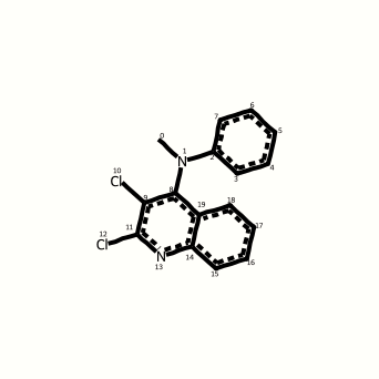 CN(c1ccccc1)c1c(Cl)c(Cl)nc2ccccc12